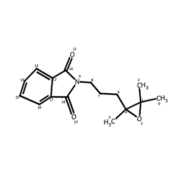 CC1(C)OC1(C)CCCN1C(=O)c2ccccc2C1=O